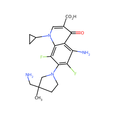 CC1(CN)CCN(c2c(F)c(N)c3c(=O)c(C(=O)O)cn(C4CC4)c3c2F)C1